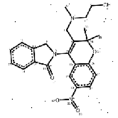 CN(CCO)CC1=C(N2Cc3ccccc3C2=O)c2cc([N+](=O)[O-])ccc2OC1(C)C